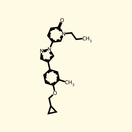 CCCn1cc(-n2cc(-c3ccc(OCC4CC4)c(C)c3)cn2)ccc1=O